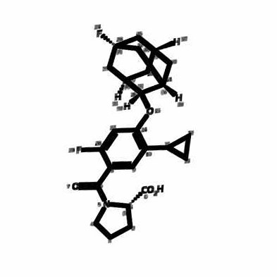 O=C(O)[C@@H]1CCCN1C(=O)c1cc(C2CC2)c(O[C@@H]2[C@@H]3C[C@H]4C[C@H]2C[C@](F)(C4)C3)cc1F